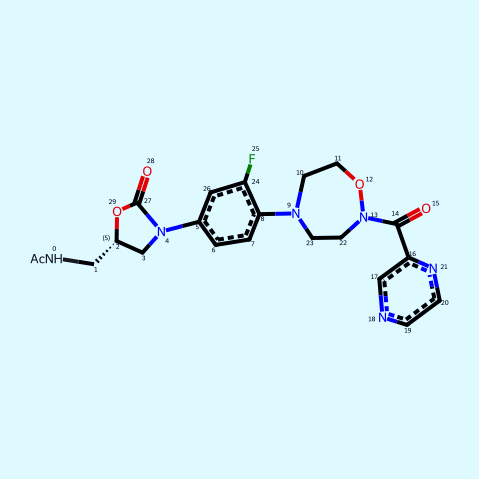 CC(=O)NC[C@H]1CN(c2ccc(N3CCON(C(=O)c4cnccn4)CC3)c(F)c2)C(=O)O1